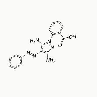 Nc1nn(-c2ccccc2C(=O)O)c(N)c1N=Nc1ccccc1